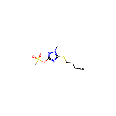 Cn1nc(OS(C)(=O)=O)nc1SCCCC#N